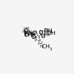 CCCCCCC(CCC(=O)OC(CO)CO)OC(=O)NCC1CCCN1C